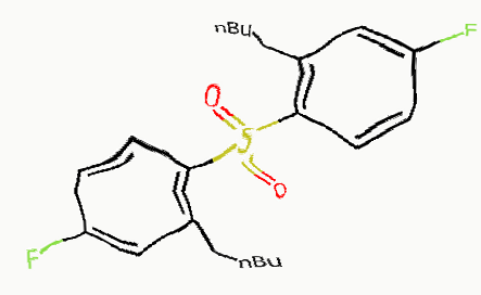 CCCCc1cc(F)ccc1S(=O)(=O)c1ccc(F)cc1CCCC